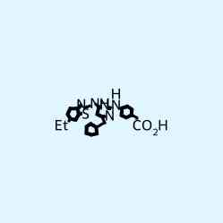 CCc1ccc2nc(Nc3cc(Cc4ccccc4)nc(Nc4ccc(CC(=O)O)cc4)n3)sc2c1